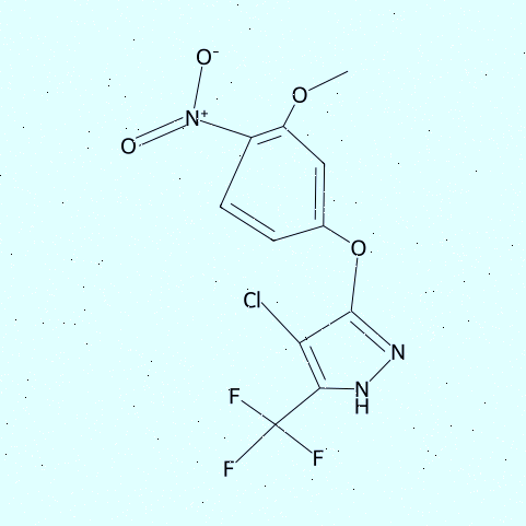 COc1cc(Oc2n[nH]c(C(F)(F)F)c2Cl)ccc1[N+](=O)[O-]